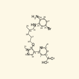 Cc1cc(C(=O)O)cc(-c2cnn(C)c2OCCCC(C)CNc2cc(Br)ccc2N)n1